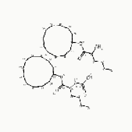 CCCCC(N)C(=O)OC1CCCCCCCCCCC1.CCCCC(NC(=O)O)C(=O)OC1CCCCCCCCCCC1